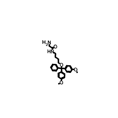 COc1ccc(C(OCCCCNC(=O)CN)(c2ccccc2)c2ccc(OC)cc2)cc1